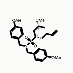 C=CCC[C@@H](C[C@@H](C)OC)S(=O)(=O)N(Cc1ccc(OC)cc1)Cc1ccc(OC)cc1